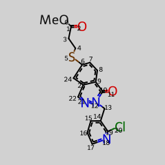 COC(=O)CCSc1ccc2c(=O)n(Cc3cccnc3Cl)ncc2c1